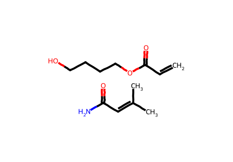 C=CC(=O)OCCCCO.CC(C)=CC(N)=O